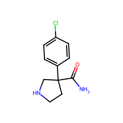 NC(=O)C1(c2ccc(Cl)cc2)CCNC1